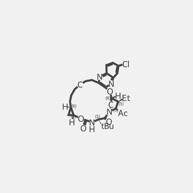 CC[C@@H]1[C@@H]2CN(C(=O)[C@H](C(C)(C)C)NC(=O)O[C@@H]3C[C@H]3CCCCCCc3nc4ccc(Cl)cc4nc3O2)[C@@H]1C(C)=O